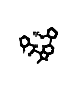 Cc1nc2ccc(-c3ccccc3OC(F)(F)F)nn2c1C(=O)Nc1ccncc1F